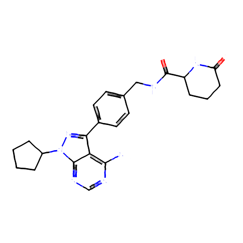 Nc1ncnc2c1c(-c1ccc(CNC(=O)C3CCCC(=O)N3)cc1)nn2C1CCCC1